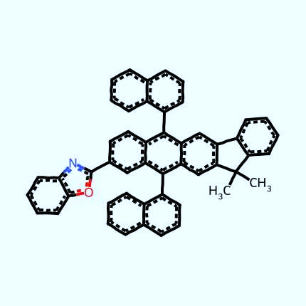 CC1(C)c2ccccc2-c2cc3c(-c4cccc5ccccc45)c4ccc(-c5nc6ccccc6o5)cc4c(-c4cccc5ccccc45)c3cc21